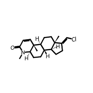 CN1C(=O)C=C[C@]2(C)[C@H]3CC[C@]4(C)/C(=C/Cl)CC[C@H]4[C@@H]3CC[C@@H]12